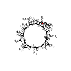 CC=CC[C@@H](C)[C@@H](O)[C@H]1C(=O)N[C@@H](C(C)OC(C)=O)C(=O)N(C)[C@H](C)C(=O)N(C)[C@@H](C(C)O)C(=O)N[C@@H](CC(C)C)C(=O)N(C)[C@@H](CC(C)C)C(=O)N[C@@H](C)C(=O)N[C@H](C)C(=O)N(C)[C@@H](CC(C)C)C(=O)N[C@@H](CC(C)C)C(=O)N(C)[C@@H](C(C)C)C(=O)N1C